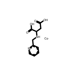 O=C(O)CC(NCc1ccccn1)C(=O)O.[Co]